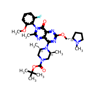 COc1cccc(F)c1-n1c(C)nc2c(N3[C@@H](C)CN(C(=O)OC(C)(C)C)C[C@@H]3C)nc(OC[C@@H]3CCCN3C)nc2c1=O